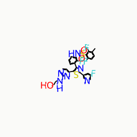 Cc1ccc(F)c(S(=O)(=O)Nc2cccc(-c3nc(-c4cncc(F)c4)sc3-c3ccnc(NCCO)n3)c2F)c1F